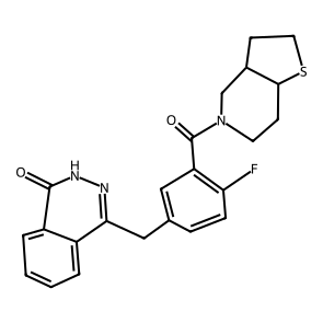 O=C(c1cc(Cc2n[nH]c(=O)c3ccccc23)ccc1F)N1CCC2SCCC2C1